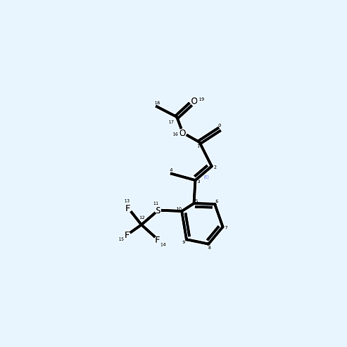 C=C(/C=C(\C)c1ccccc1SC(F)(F)F)OC(C)=O